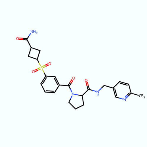 NC(=O)C1CC(S(=O)(=O)c2cccc(C(=O)N3CCCC3C(=O)NCc3ccc(C(F)(F)F)nc3)c2)C1